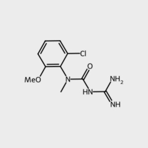 COc1cccc(Cl)c1N(C)C(=O)NC(=N)N